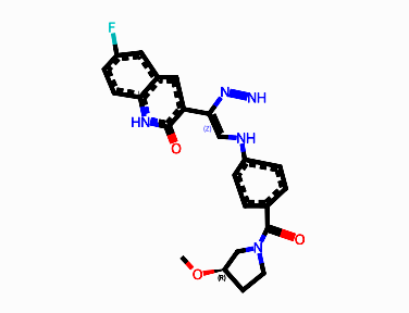 CO[C@@H]1CCN(C(=O)c2ccc(N/C=C(\N=N)c3cc4cc(F)ccc4[nH]c3=O)cc2)C1